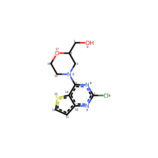 OCC1CN(c2nc(Cl)nc3ccsc23)CCO1